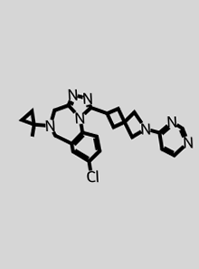 CC1(N2Cc3cc(Cl)ccc3-n3c(nnc3C3CC4(C3)CN(c3ccncn3)C4)C2)CC1